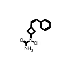 NC(=O)N(O)C1CC(/C=C\c2ccccc2)C1